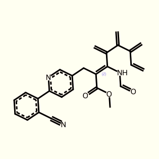 C=CC(=C)C(=C)C(=C)/C(NC=O)=C(\Cc1ccc(-c2ccccc2C#N)nc1)C(=O)OC